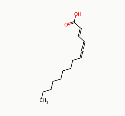 CCCCCCCCC=C=C/C=C/C(=O)O